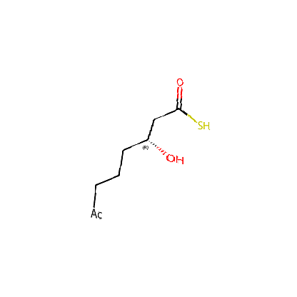 CC(=O)CCC[C@@H](O)CC(=O)S